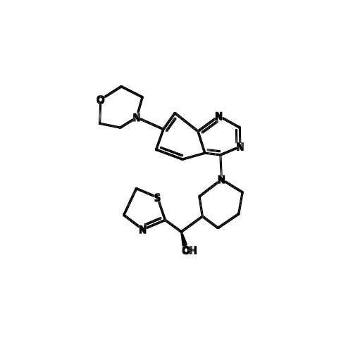 O[C@@H](C1=NCCS1)C1CCCN(c2ncnc3cc(N4CCOCC4)ccc23)C1